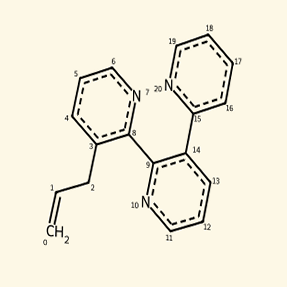 C=CCc1cccnc1-c1ncccc1-c1ccccn1